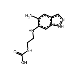 Nc1cc2cn[nH]c2cc1NCCNC(=O)O